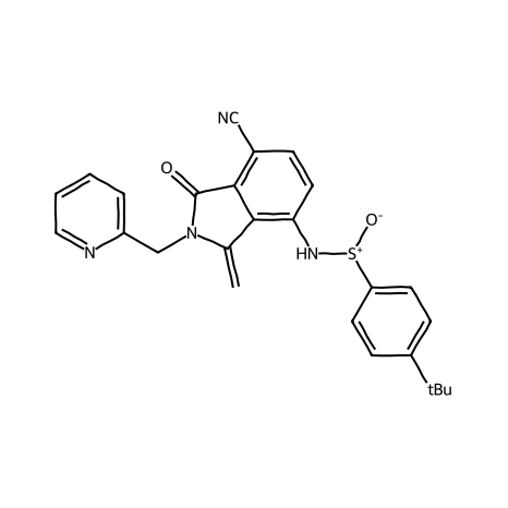 C=C1c2c(N[S+]([O-])c3ccc(C(C)(C)C)cc3)ccc(C#N)c2C(=O)N1Cc1ccccn1